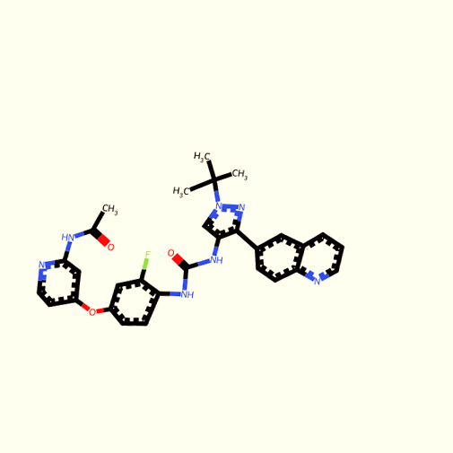 CC(=O)Nc1cc(Oc2ccc(NC(=O)Nc3cn(C(C)(C)C)nc3-c3ccc4ncccc4c3)c(F)c2)ccn1